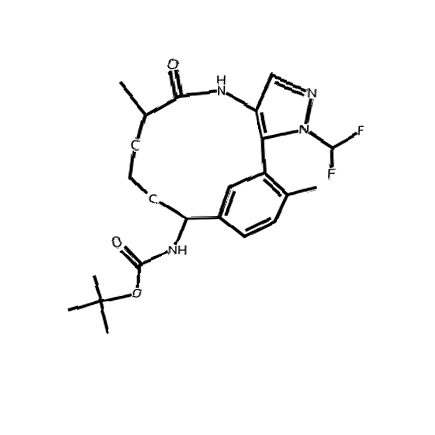 Cc1ccc2cc1-c1c(cnn1C(F)F)NC(=O)C(C)CCCC2NC(=O)OC(C)(C)C